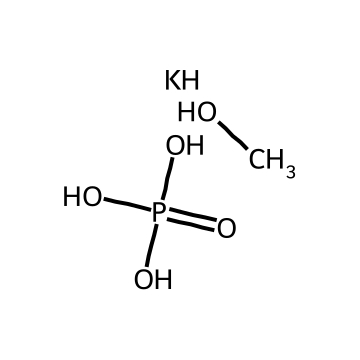 CO.O=P(O)(O)O.[KH]